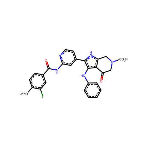 COc1ccc(C(=O)Nc2cc(-c3[nH]c4c(c3Nc3ccccc3)C(=O)CN(C(=O)O)C4)ccn2)cc1F